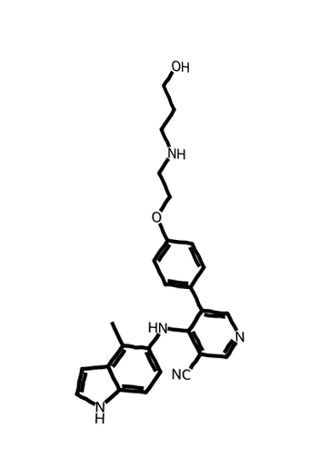 Cc1c(Nc2c(C#N)cncc2-c2ccc(OCCNCCCO)cc2)ccc2[nH]ccc12